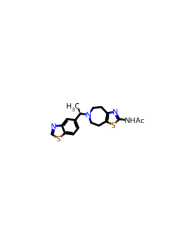 CC(=O)Nc1nc2c(s1)CCN([C@H](C)c1ccc3scnc3c1)CC2